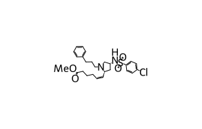 COC(=O)CCC/C=C\[C@@H]1C[C@@H](NS(=O)(=O)c2ccc(Cl)cc2)CN1CCCc1ccccc1